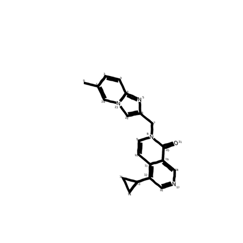 Cc1ccc2nc(Cn3ccc4c(C5CC5)cncc4c3=O)cn2c1